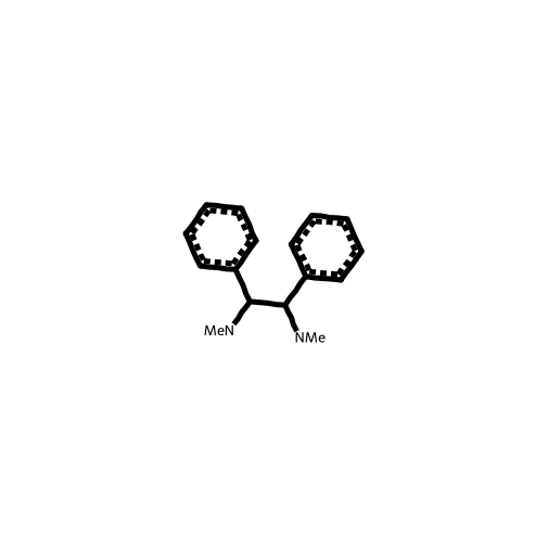 CNC(c1ccccc1)C(NC)c1ccccc1